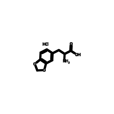 Cl.NC(Cc1ccc2c(c1)OCO2)C(=O)O